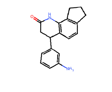 Nc1cccc(C2CC(=O)Nc3c2ccc2c3CCC2)c1